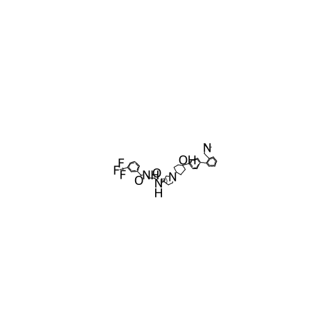 CN(C)Cc1ccccc1-c1ccc(C2(O)CCC(N3CC[C@@H](NC(=O)CNC(=O)c4cccc(C(F)(F)F)c4)C3)CC2)cc1